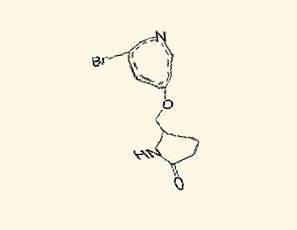 O=C1CCC(COc2cncc(Br)c2)N1